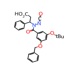 CC(C)(C)Oc1cc(OCc2ccccc2)cc(C(=O)N(N=C=O)C(CC(=O)O)c2ccccc2)c1